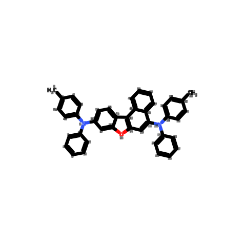 Cc1ccc(N(c2ccccc2)c2ccc3c(c2)oc2cc(N(c4ccccc4)c4ccc(C)cc4)c4ccccc4c23)cc1